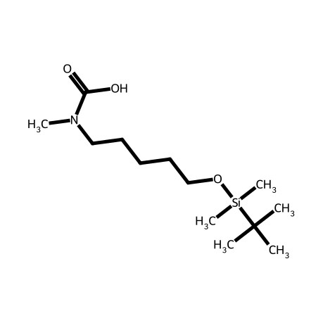 CN(CCCCCO[Si](C)(C)C(C)(C)C)C(=O)O